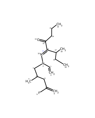 C=CN(CC(C)CC(=C)F)/N=C(/C(=O)CCC)C(C)CC